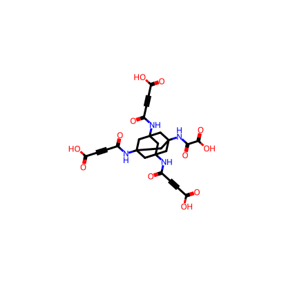 O=C(O)C#CC(=O)NC12CC3(NC(=O)C#CC(=O)O)CC(NC(=O)C#CC(=O)O)(C1)CC(NC(=O)C(=O)O)(C2)C3